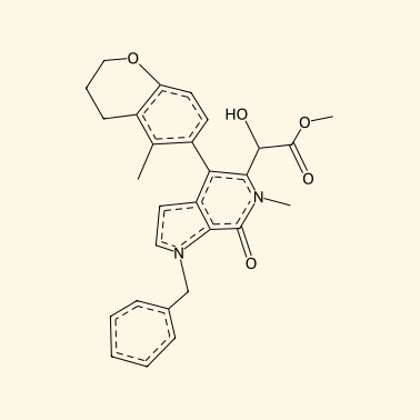 COC(=O)C(O)c1c(-c2ccc3c(c2C)CCCO3)c2ccn(Cc3ccccc3)c2c(=O)n1C